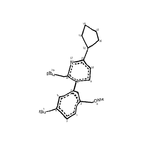 COc1ccc(C(C)(C)C)cc1-c1ccc(C2CCCC2)nc1C(C)(C)C